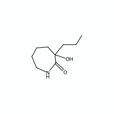 CCCC1(O)CCCCNC1=O